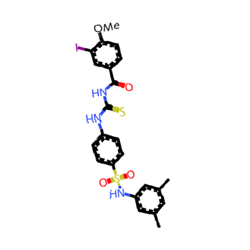 COc1ccc(C(=O)NC(=S)Nc2ccc(S(=O)(=O)Nc3cc(C)cc(C)c3)cc2)cc1I